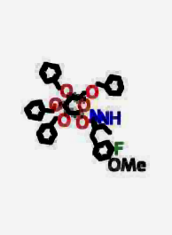 COc1ccc(Cc2c(O[C@@H]3O[C@H](COCc4ccccc4)[C@@H](OCc4ccccc4)[C@H](OCc4ccccc4)[C@H]3OCc3ccccc3)n[nH]c2C)cc1F